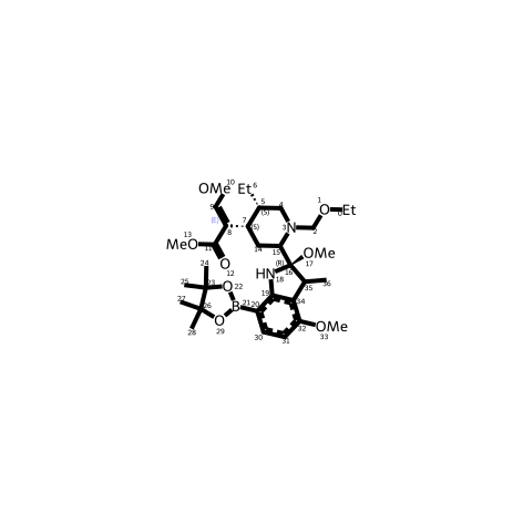 CCOCN1C[C@@H](CC)[C@@H](/C(=C\OC)C(=O)OC)CC1[C@@]1(OC)Nc2c(B3OC(C)(C)C(C)(C)O3)ccc(OC)c2C1C